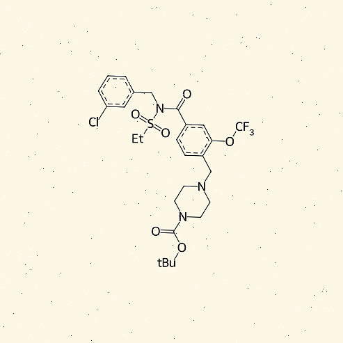 CCS(=O)(=O)N(Cc1cccc(Cl)c1)C(=O)c1ccc(CN2CCN(C(=O)OC(C)(C)C)CC2)c(OC(F)(F)F)c1